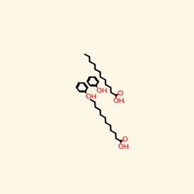 CCCCCCCCCCCC(=O)O.CCCCCCCCCCCC(=O)O.Oc1ccccc1.Oc1ccccc1